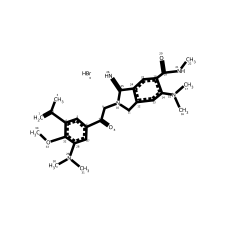 Br.C=C(C)c1cc(C(=O)CN2Cc3cc(N(C)C)c(C(=O)NC)cc3C2=N)cc(N(C)C)c1OC